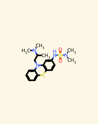 CC(CN1c2ccccc2Sc2ccc(NS(=O)(=O)N(C)C)cc21)N(C)C